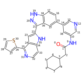 O=C(CC1CCCCC1)Nc1cncc(-c2ccc3[nH]nc(-c4cc5c(-c6cccs6)nccc5[nH]4)c3c2)c1